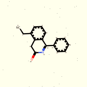 N#CCc1cccc2c1CC(=O)N=C2c1ccccc1